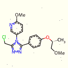 COC[C@@H](C)Oc1ccc(-c2nnc(CCl)n2-c2ccc(OC)nc2)cc1